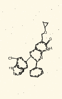 O=c1[nH]c2nc(-c3ccccc3)c(-c3cc(Cl)c4[nH]ncc4c3)cc2cc1COC1CC1